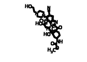 COC(=O)NC1CCC(C)(C(=O)c2nc3cc(C#N)c(N4CCN(CCO)C[C@H]4C)cc3n2/C(=C\C(=O)O)C(=O)O)CC1